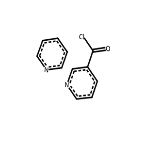 O=C(Cl)c1cccnc1.c1ccncc1